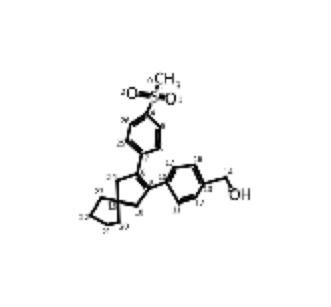 CS(=O)(=O)c1ccc(C2=C(c3ccc(CO)cc3)CC3(CCCC3)C2)cc1